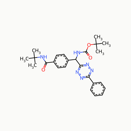 CC(C)(C)NC(=O)c1ccc(C(NC(=O)OC(C)(C)C)c2nnc(-c3ccccc3)nn2)cc1